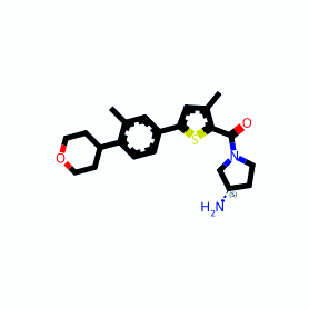 Cc1cc(-c2cc(C)c(C(=O)N3CC[C@H](N)C3)s2)ccc1C1CCOCC1